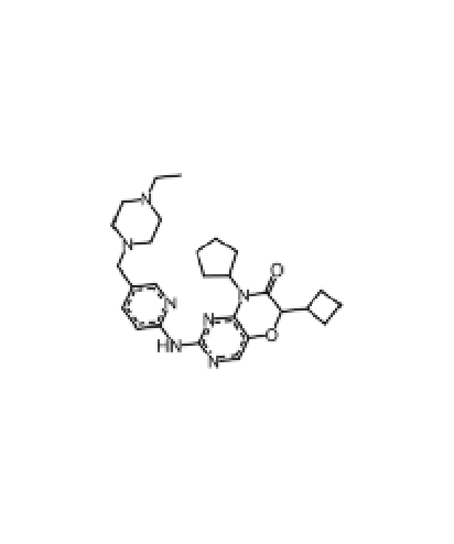 CCN1CCN(Cc2ccc(Nc3ncc4c(n3)N(C3CCCC3)C(=O)C(C3CCC3)O4)nc2)CC1